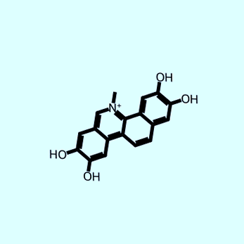 C[n+]1cc2cc(O)c(O)cc2c2ccc3cc(O)c(O)cc3c21